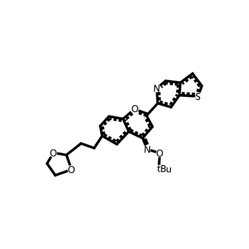 CC(C)(C)ON=c1cc(-c2cc3sccc3cn2)oc2ccc(CCC3OCCO3)cc12